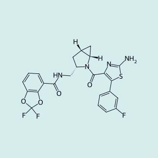 Nc1nc(C(=O)N2[C@H](CNC(=O)c3cccc4c3OC(F)(F)O4)C[C@@H]3C[C@@H]32)c(-c2cccc(F)c2)s1